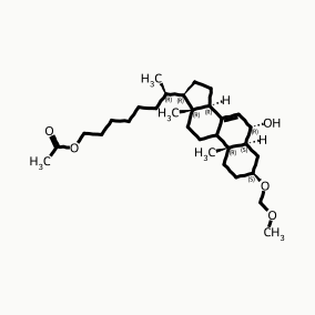 COCO[C@H]1CC[C@]2(C)C3CC[C@]4(C)[C@@H]([C@H](C)CCCCCCOC(C)=O)CC[C@H]4C3=C[C@H](O)[C@H]2C1